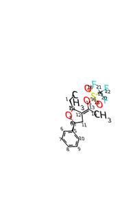 CC[C@@H]1O[C@H](c2ccccc2)CC1=C(C)OS(=O)(=O)C(F)(F)F